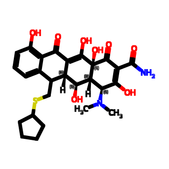 CN(C)[C@@H]1C(O)=C(C(N)=O)C(=O)[C@@]2(O)C(O)=C3C(=O)c4c(O)cccc4C(CSC4CCCC4)[C@H]3[C@H](O)[C@@H]12